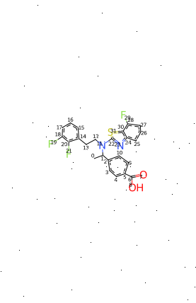 CC(c1ccc(C(=O)O)cc1)N(CCc1cccc(F)c1F)c1nc2cccc(F)c2s1